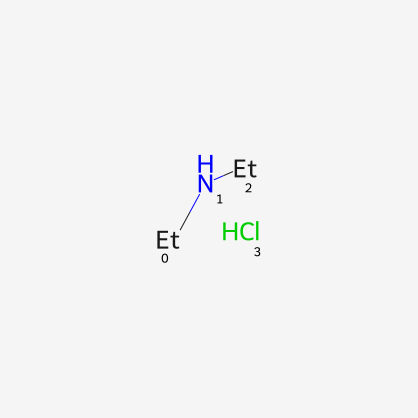 CCNCC.Cl